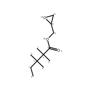 CCC(C)(C)C(C)(C)C(=O)OCC1CO1